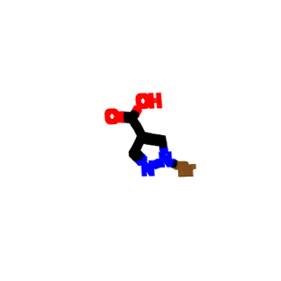 O=C(O)c1cnn(Br)c1